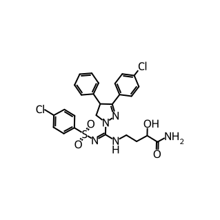 NC(=O)C(O)CCN/C(=N/S(=O)(=O)c1ccc(Cl)cc1)N1CC(c2ccccc2)C(c2ccc(Cl)cc2)=N1